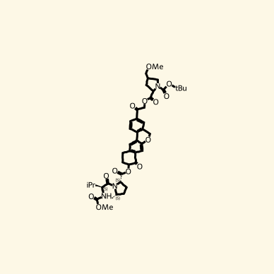 COCC1CC(C(=O)OCC(=O)c2ccc3c(c2)COc2cc4c(cc2-3)CCC(OC(=O)[C@@H]2CC[C@H](C)N2C(=O)[C@@H](NC(=O)OC)C(C)C)C4=O)N(C(=O)OC(C)(C)C)C1